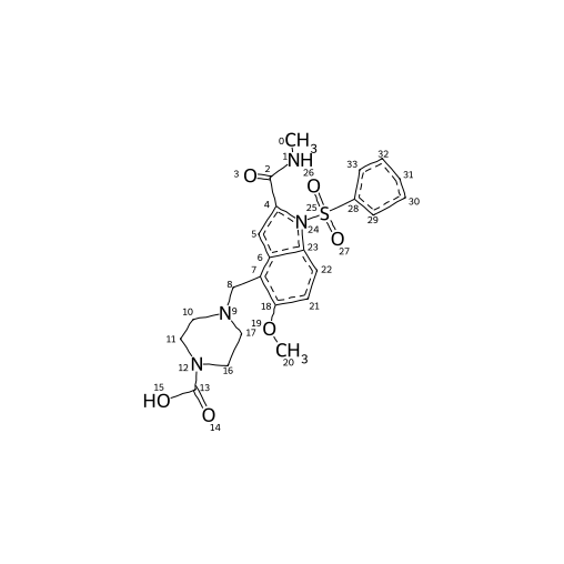 CNC(=O)c1cc2c(CN3CCN(C(=O)O)CC3)c(OC)ccc2n1S(=O)(=O)c1ccccc1